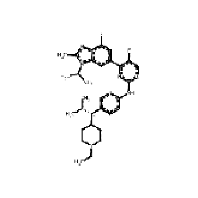 CCN1CCC([C@@H](c2ccc(Nc3ncc(F)c(-c4cc(F)c5nc(C)n(C(C)C)c5c4)n3)nc2)C(C)C)CC1